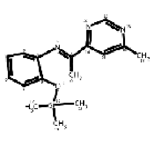 CC(=Nc1ccccc1O[Si](C)(C)C)c1cc(C)ncn1